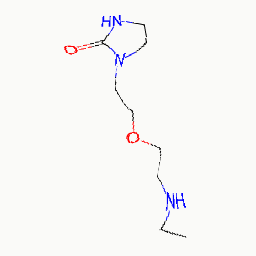 CCNCCOCCN1CCNC1=O